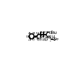 CC(C)CNC(=O)C(CC(C)(C)C)C(C)(C)C(C)(C)CC(C1=CC=CCC1)C(C)(C)C